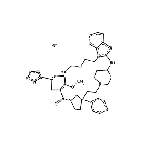 CCOCCn1c(NC2CCN(CCC3(c4ccccc4)CCN(C(=O)c4cc(-n5cnnn5)ccc4OC)C3)CC2)nc2ccccc21.Cl